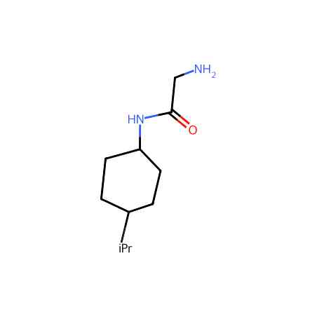 CC(C)C1CCC(NC(=O)CN)CC1